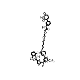 Cc1nc(Nc2ncc(C(=O)Nc3c(C)cccc3Cl)s2)cc(N2CCN(CCCCCCOCCOCC(=O)Nc3cccc(C4CCC(=O)NC4=O)c3)CC2)n1